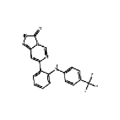 O=c1[nH]nc2cc(-c3ccccc3Nc3ccc(C(F)(F)F)cc3)ncn12